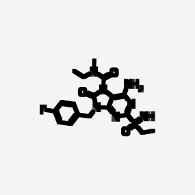 CCN(C)C(=O)n1c(=O)n(Cc2ccc(F)cc2)c2nc(S(=N)(=O)CC)nc(N)c21